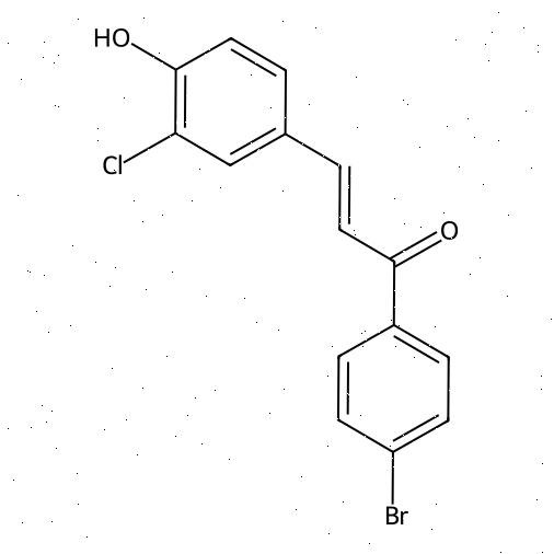 O=C(C=Cc1ccc(O)c(Cl)c1)c1ccc(Br)cc1